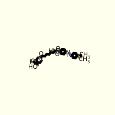 CN(C)c1ccc(/N=N/c2ccc(S(=O)(=O)NCCCCCC(=O)N3CCC(CO)(COI)CC3)cc2)cc1